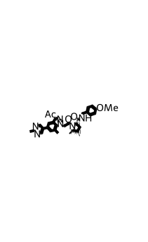 COc1ccc(CNC(=O)[C@@H]2C[C@H](C)[C@@H](C)N2C(=O)Cn2nc(C(C)=O)c3cc(-c4cnc(C)nc4)cc(C)c32)cc1